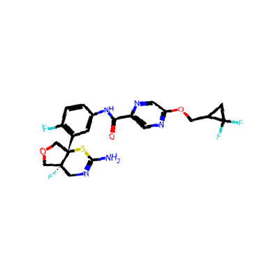 NC1=NC[C@@]2(F)COC[C@]2(c2cc(NC(=O)c3cnc(OCC4CC4(F)F)cn3)ccc2F)S1